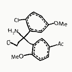 COc1ccc(Cl)c(C(N)(CCl)c2cc(C(C)=O)ccc2OC)c1